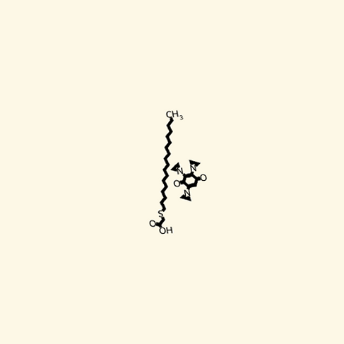 CCCCCCCCCCCCCCCCCCSCC(=O)O.O=C1C=C(N2CC2)C(=O)C(N2CC2)=C1N1CC1